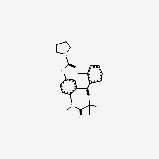 CN1C(=O)C(C)(C)N=C(c2ccccc2Cl)c2cc(NC(=O)N3CCCC3)ccc21